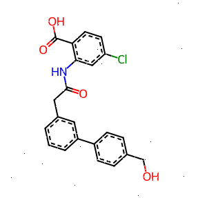 O=C(Cc1cccc(-c2ccc(CO)cc2)c1)Nc1cc(Cl)ccc1C(=O)O